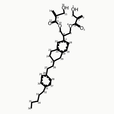 C=C(CO)C(=O)OCC(COC(=O)C(=C)CO)c1ccc2c(c1)CCC(CCc1ccc(CCCCC)cc1)C2